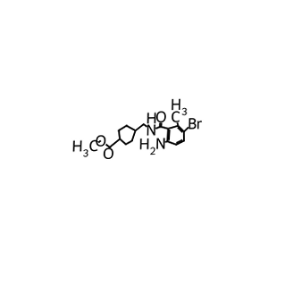 COC(=O)C1CCC(CNC(=O)c2c(N)ccc(Br)c2C)CC1